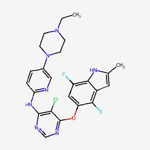 CCN1CCN(c2ccc(Nc3ncnc(Oc4cc(F)c5[nH]c(C)cc5c4F)c3Cl)nc2)CC1